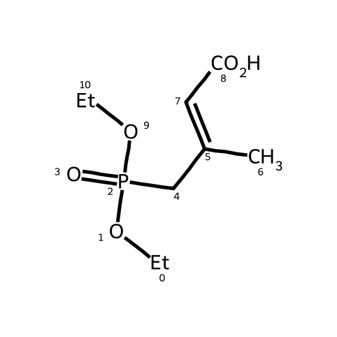 CCOP(=O)(CC(C)=CC(=O)O)OCC